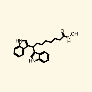 O=C(CCCCCCC(c1c[nH]c2ccccc12)c1c[nH]c2ccccc12)NO